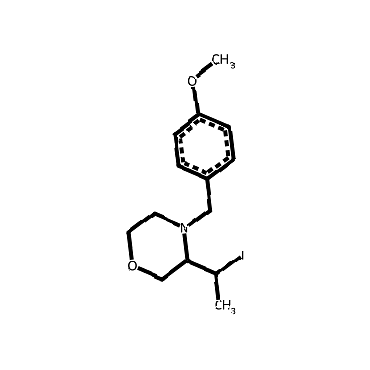 COc1ccc(CN2CCOCC2C(C)I)cc1